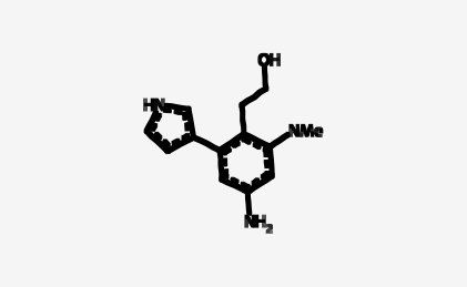 CNc1cc(N)cc(-c2cc[nH]c2)c1CCO